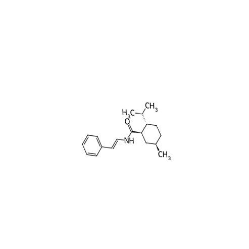 CC(C)[C@@H]1CC[C@@H](C)C[C@H]1C(=O)N/C=C/c1ccccc1